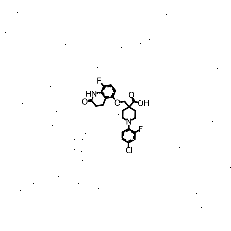 O=C1CCc2c(OCC3(C(=O)O)CCN(c4ccc(Cl)cc4F)CC3)ccc(F)c2N1